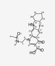 CC(=O)N(C)CCn1cc(C(=O)O)c(=O)c2cc(F)c(NC3CCCCC3)cc21